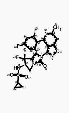 Cc1cc2onc(-n3cc4n(c3=O)C[C@@H](NS(=O)(=O)C3CC3)C4(F)F)c2c(-c2c(F)cc(F)cc2F)n1